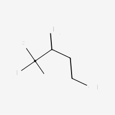 [CH2]CCC([CH2])C(F)(F)F